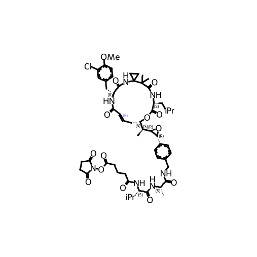 COc1ccc(C[C@H]2NC(=O)/C=C/C[C@@H]([C@H](C)[C@H]3O[C@@H]3c3ccc(CNC(=O)[C@H](C)NC(=O)[C@@H](NC(=O)CCCC(=O)ON4C(=O)CCC4=O)C(C)C)cc3)OC(=O)[C@H](CC(C)C)NC(=O)C(C)(C)C3(CC3)NC2=O)cc1Cl